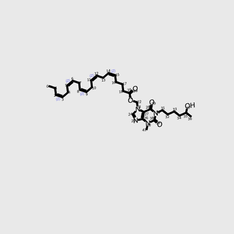 CC/C=C\C/C=C\C/C=C\C/C=C\C/C=C\CCCC(=O)OCn1cnc2c1c(=O)n(CCCCC(C)O)c(=O)n2C